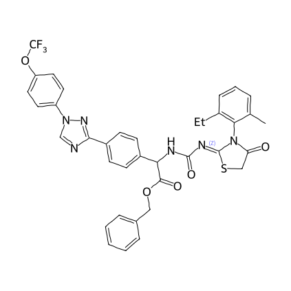 CCc1cccc(C)c1N1C(=O)CS/C1=N\C(=O)NC(C(=O)OCc1ccccc1)c1ccc(-c2ncn(-c3ccc(OC(F)(F)F)cc3)n2)cc1